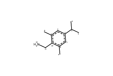 Cc1cc(C(C)C)cc(C)c1CN